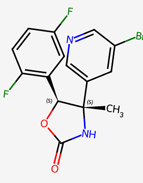 C[C@@]1(c2cncc(Br)c2)NC(=O)O[C@H]1c1cc(F)ccc1F